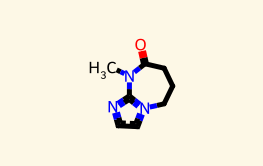 CN1C(=O)CCCn2ccnc21